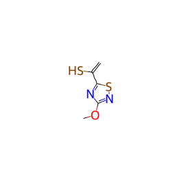 C=C(S)c1nc(OC)ns1